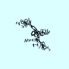 COc1cc2c3c(c4c(c2cc1N1CCCC(COC(=O)C(C)(C)Br)C1)-c1ccc(Br)cc1C4(C)C)C=CC(c1ccccc1)(c1ccc(N2CCCC(COC(=O)C(C)(C)Br)C2)cc1)O3